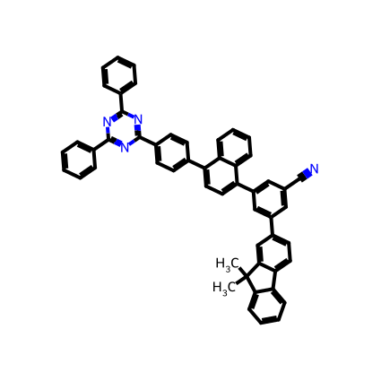 CC1(C)c2ccccc2-c2ccc(-c3cc(C#N)cc(-c4ccc(-c5ccc(-c6nc(-c7ccccc7)nc(-c7ccccc7)n6)cc5)c5ccccc45)c3)cc21